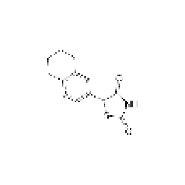 O=C1NC(=O)C(c2ccc3c(c2)CCCC3)S1